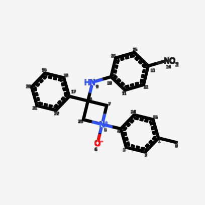 Cc1ccc([N+]2([O-])CC(Nc3ccc([N+](=O)[O-])cc3)(c3ccccc3)C2)cc1